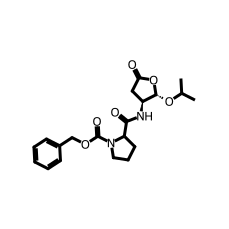 CC(C)O[C@H]1OC(=O)C[C@@H]1NC(=O)C1CCCN1C(=O)OCc1ccccc1